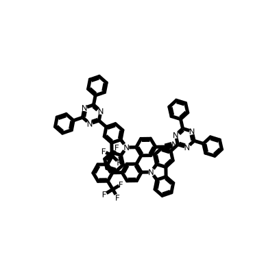 N#Cc1ccc(-n2c3ccccc3c3cc(-c4nc(-c5ccccc5)nc(-c5ccccc5)n4)ccc32)c(-c2cc(-c3c(C(F)(F)F)cccc3C(F)(F)F)ccc2-n2c3ccccc3c3cc(-c4nc(-c5ccccc5)nc(-c5ccccc5)n4)ccc32)c1